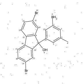 Bc1cc(C)cc(C2(O)c3cc(Br)ccc3-c3ccc(Br)cc32)c1